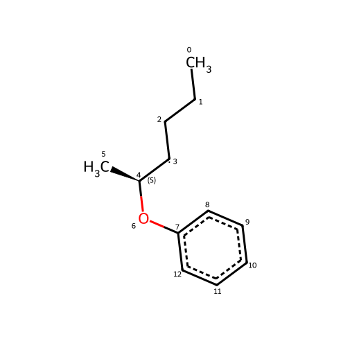 CCC[CH][C@H](C)Oc1ccccc1